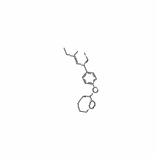 CC/C(C)=C/[C@@H](CC)c1ccc(OC2CCCCO2)cc1